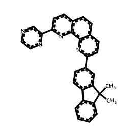 CC1(C)c2ccccc2-c2ccc(-c3ccc4ccc5ccc(-c6cnccn6)nc5c4n3)cc21